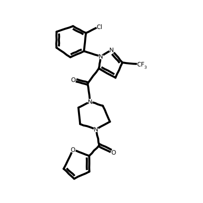 O=C(c1ccco1)N1CCN(C(=O)c2cc(C(F)(F)F)nn2-c2ccccc2Cl)CC1